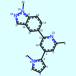 Cc1cc(-c2cccn2C)cc(-c2ccc3c(cnn3C)c2)n1